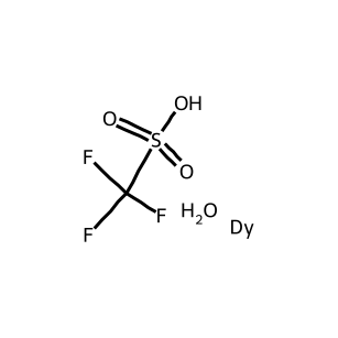 O.O=S(=O)(O)C(F)(F)F.[Dy]